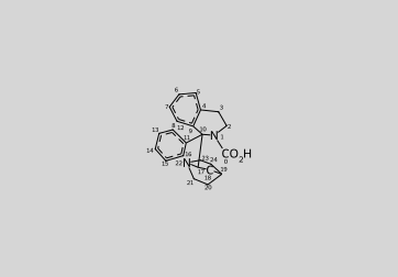 O=C(O)N1CCc2ccccc2C1(c1ccccc1)C1CC2CCN1CC2